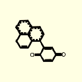 O=C1C=CC(=O)C(c2ccc3cccc4c3c2C=CC4)=C1